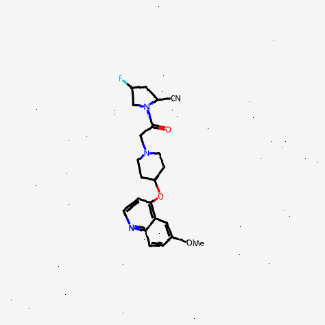 COc1ccc2nccc(OC3CCN(CC(=O)N4CC(F)CC4C#N)CC3)c2c1